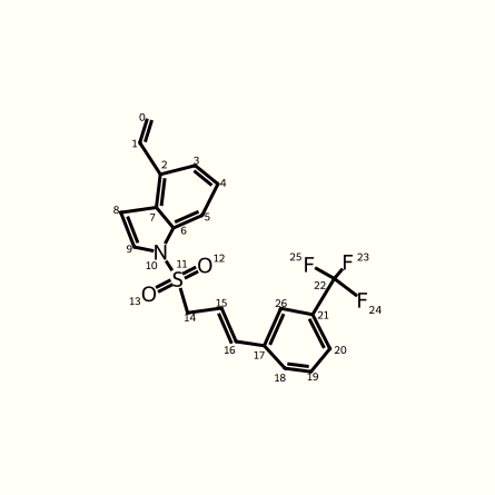 C=Cc1cccc2c1ccn2S(=O)(=O)CC=Cc1cccc(C(F)(F)F)c1